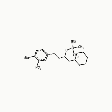 CC(C)(C)c1ccc(CCC(CC2CCCCC2)O[Si](C)(C)C(C)(C)C)cc1[N+](=O)[O-]